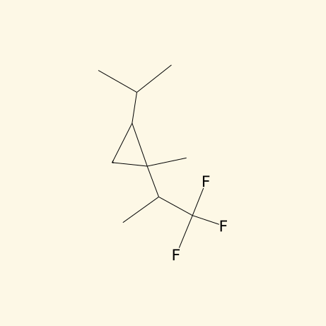 CC(C)C1CC1(C)C(C)C(F)(F)F